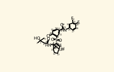 CC(C)(O)CC(=O)NC[C@]1(O)C2CC[C@@H]1C[C@@H](S(=O)(=O)c1cc(C(=O)Nc3ccc(F)c(F)c3)ccc1Cl)C2